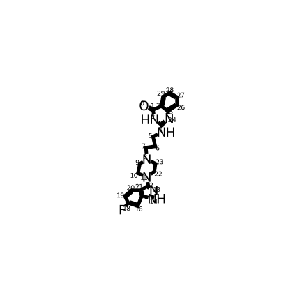 O=c1[nH]c(NCCCN2CCN(c3n[nH]c4cc(F)ccc34)CC2)nc2ccccc12